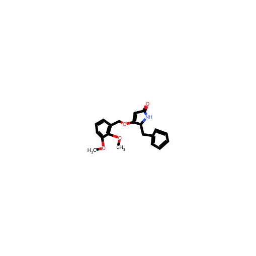 COc1cccc(COC2=CC(=O)NC2Cc2ccccc2)c1OC